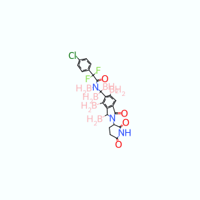 Bc1cc2c(c(B)c1C(B)(B)N(B)C(=O)C(F)(F)c1ccc(Cl)cc1)C(B)N(C1CCC(=O)NC1=O)C2=O